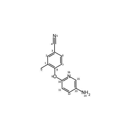 Cc1cc(C#N)ccc1Oc1ccc(N)cn1